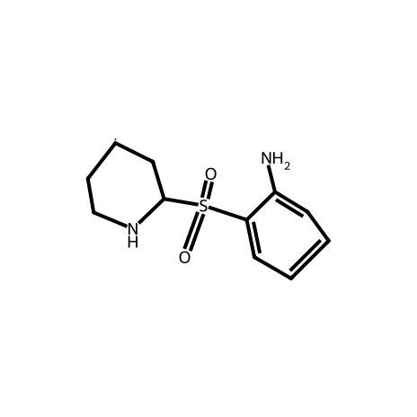 Nc1ccccc1S(=O)(=O)C1C[CH]CCN1